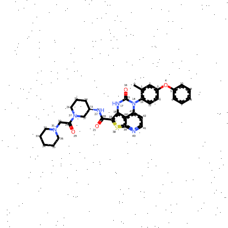 Cc1cc(Oc2ccccc2)ccc1N1C(=O)Nc2c(C(=O)N[C@@H]3CCCN(C(=O)CN4CCCCC4)C3)sc3nccc1c23